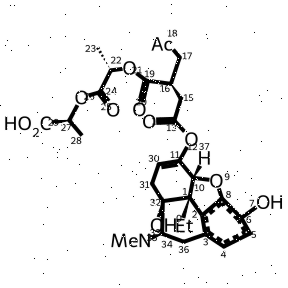 CC[C@]12c3c4ccc(O)c3O[C@H]1C(OC(=O)C[C@H](CC(C)=O)C(=O)O[C@@H](C)C(=O)O[C@@H](C)C(=O)O)=CC[C@@]2(O)[C@H](NC)C4